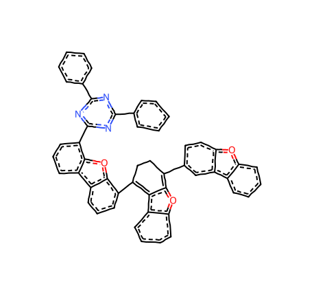 c1ccc(-c2nc(-c3ccccc3)nc(-c3cccc4c3oc3c(C5=c6c(oc7ccccc67)=C(c6ccc7oc8ccccc8c7c6)CC5)cccc34)n2)cc1